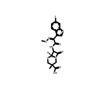 CON=C(C(=O)NC1C(=O)N2CC(C)(C(=O)O)CS[C@H]12)c1csc2cc(F)ccc12